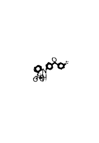 O=C(c1ccc(Nc2ccccc2[N+](=O)[O-])cc1)c1cccc(F)c1